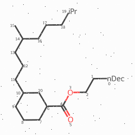 CCCCCCCCCCCCOC(=O)C1CCCC(CCCC(C)CCCC(C)C)C1